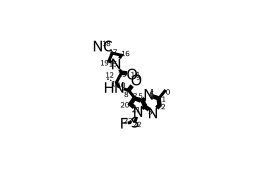 Cc1cnc2c(n1)c(C(=O)N[C@H](C)C(=O)N1CC(C#N)C1)cn2SF